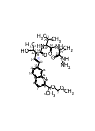 COCO[C@H](C)c1ccc2ccc(/C=C/[C@@H](C(=O)N[C@H](C(=O)N[C@@H](C)C(=O)NN)C(C)C)[C@H](C)O)cc2n1